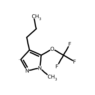 CCCc1[c]nn(C)c1OC(F)(F)F